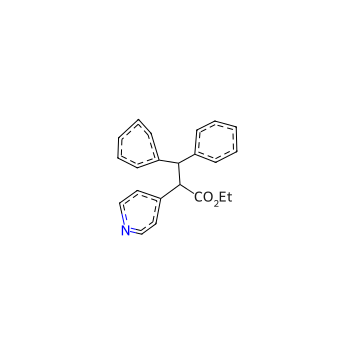 CCOC(=O)C(c1ccncc1)C(c1ccccc1)c1ccccc1